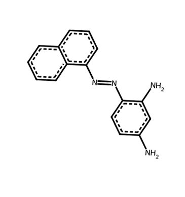 Nc1ccc(/N=N/c2cccc3ccccc23)c(N)c1